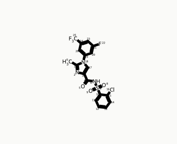 Cc1nc(C(=O)NS(=O)(=O)c2ccccc2Cl)cn1-c1cc(F)cc(C(F)(F)F)c1